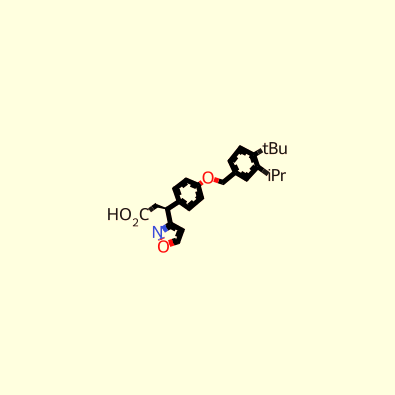 CC(C)c1cc(COc2ccc([C@H](CC(=O)O)c3ccon3)cc2)ccc1C(C)(C)C